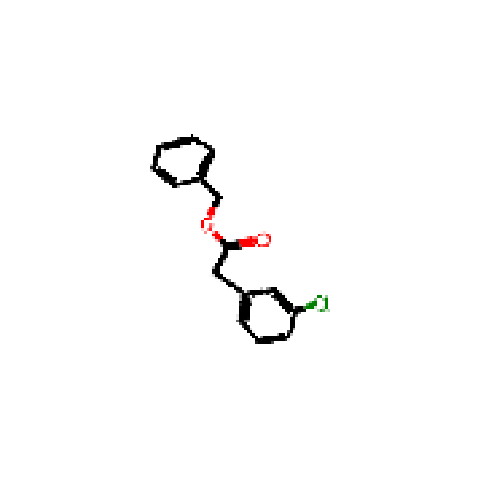 O=C([CH]c1cccc(Cl)c1)OCc1ccccc1